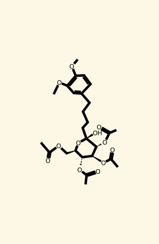 COc1ccc(CCCC[C@@]2(O)O[C@H](COC(C)=O)[C@@H](OC(C)=O)[C@H](OC(C)=O)[C@H]2OC(C)=O)cc1OC